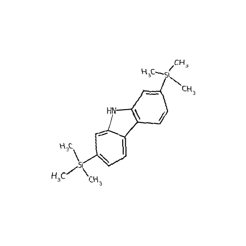 C[Si](C)(C)c1ccc2c(c1)[nH]c1cc([Si](C)(C)C)ccc12